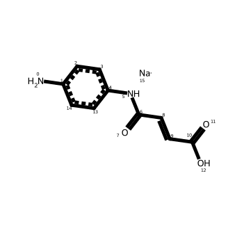 Nc1ccc(NC(=O)C=CC(=O)O)cc1.[Na]